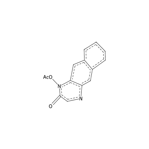 CC(=O)On1c(=O)cnc2cc3ccccc3cc21